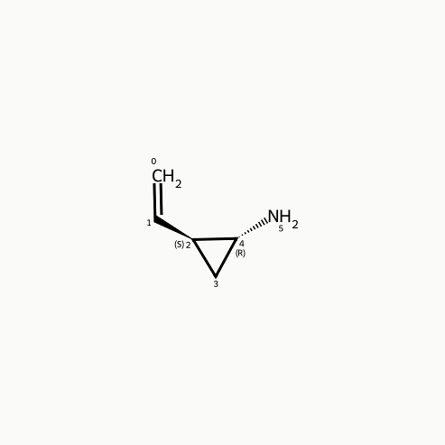 C=C[C@@H]1C[C@H]1N